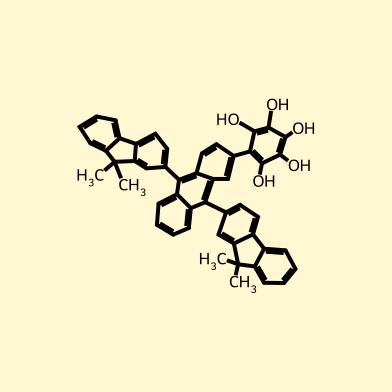 CC1(C)c2ccccc2-c2ccc(-c3c4ccccc4c(-c4ccc5c(c4)C(C)(C)c4ccccc4-5)c4cc(-c5c(O)c(O)c(O)c(O)c5O)ccc34)cc21